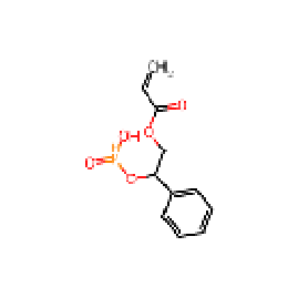 C=CC(=O)OCC(O[PH](=O)O)c1ccccc1